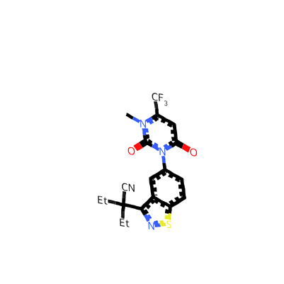 CCC(C#N)(CC)c1nsc2ccc(-n3c(=O)cc(C(F)(F)F)n(C)c3=O)cc12